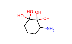 NC1CCCC(O)(O)C1(O)O